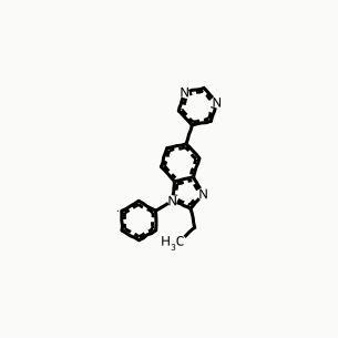 CCc1nc2cc(-c3cncnc3)ccc2n1-c1c[c]ccc1